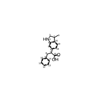 CC1CNc2cc(C(Cc3ccccc3)C(=O)O)ccc21